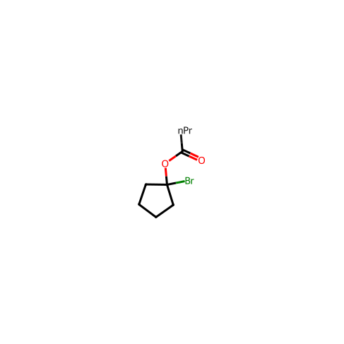 CCCC(=O)OC1(Br)CCCC1